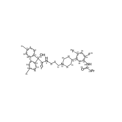 Cc1ccc(C(O)(C(=O)NCCCN2CCC(c3cc(NC(=O)C(C)C)c(F)cc3F)CC2)c2ccc(C)cc2)cc1